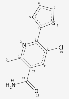 Cc1nc(-c2cccs2)c(Cl)cc1C(N)=O